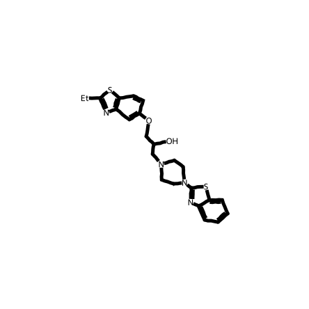 CCc1nc2cc(OCC(O)CN3C[CH]N(c4nc5ccccc5s4)CC3)ccc2s1